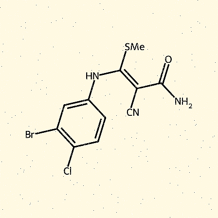 CSC(Nc1ccc(Cl)c(Br)c1)=C(C#N)C(N)=O